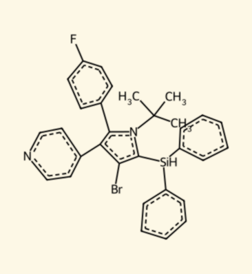 CC(C)(C)n1c(-c2ccc(F)cc2)c(-c2ccncc2)c(Br)c1[SiH](c1ccccc1)c1ccccc1